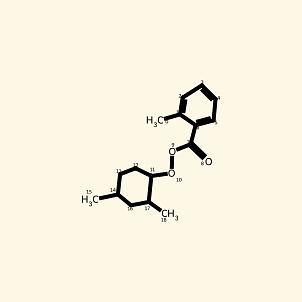 Cc1ccccc1C(=O)OO[C]1CCC(C)CC1C